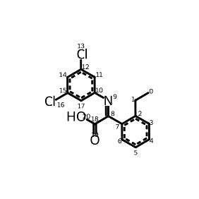 CCc1ccccc1C(=Nc1cc(Cl)cc(Cl)c1)C(=O)O